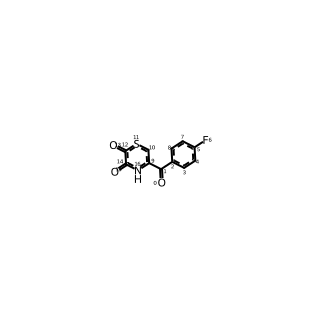 O=C(c1ccc(F)cc1)c1csc(=O)c(=O)[nH]1